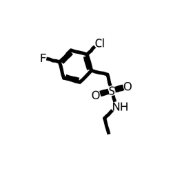 CCNS(=O)(=O)Cc1ccc(F)cc1Cl